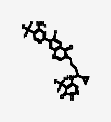 Nc1nc(-c2cc3ncn(CCCC(Nc4cn[nH]c(=O)c4C(F)(F)F)C4CC4)c(=O)c3cc2F)ncc1C(F)(F)F